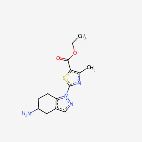 CCOC(=O)c1sc(-n2ncc3c2CCC(N)C3)nc1C